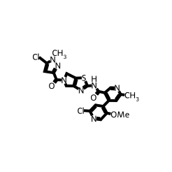 COc1cnc(Cl)cc1-c1cc(C)ncc1C(=O)Nc1nc2c(s1)CN(C(=O)c1cc(Cl)n(C)n1)C2